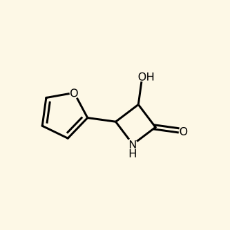 O=C1NC(c2ccco2)C1O